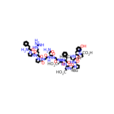 CC[C@H](C)[C@H](NC(=O)[C@H](CCC(=O)O)NC(=O)[C@H](Cc1ccccc1)NC(=O)[C@H](CC(=O)O)NC(=O)CNC(=O)[C@H](CC(N)=O)NC(=O)CNC(=O)[C@@H]1CCCN1C(=O)[C@H](CCCNC(=N)N)NC(=O)[C@@H]1CCCN1C(=O)[C@H](N)Cc1ccccc1)C(=O)N1CCC[C@H]1C(=O)N[C@@H](CCC(=O)O)C(=O)N[C@@H](Cc1ccc(O)cc1)C(=O)N[C@@H](CC(C)C)C(=O)O